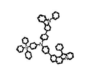 c1ccc(-c2c3c4cc(-c5ccc(N(c6ccc(-c7ccc8c(c7)c7ccccc7n8-c7ccccc7)cc6)c6ccc([Si](c7ccccc7)(c7ccccc7)c7ccccc7)cc6)cc5)ccc4ccc3n3ccccc23)cc1